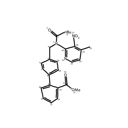 CCCCC(=O)N(Cc1ccc(-c2ccccc2C(=O)OC)cc1)c1nccc(C)c1[N+](=O)[O-]